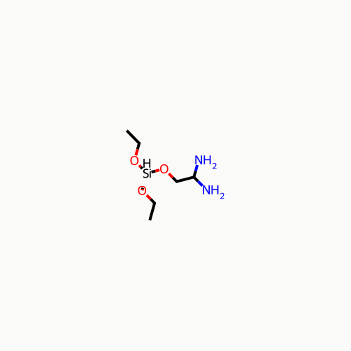 CCO[SiH](OCC)OCC(N)N